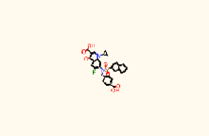 O=C(O)c1ccc(CN(c2cc3c(cc2F)c(=O)c(C(=O)O)cn3C2CC2)S(=O)(=O)c2ccc3ccccc3c2)cc1